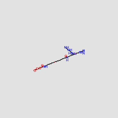 CNCCCNCCCCNCC(CCCCCCNC(=O)CCCCCCCCCCCCCCCCCCCCCCCCNC(=O)CCOCCOCCOC)CNCCCCNCCCNC